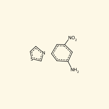 Nc1cccc([N+](=O)[O-])c1.c1cscn1